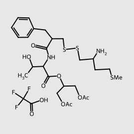 CSCCC(N)CSSCC(Cc1ccccc1)C(=O)NC(C(=O)OC(COC(C)=O)COC(C)=O)C(C)O.O=C(O)C(F)(F)F